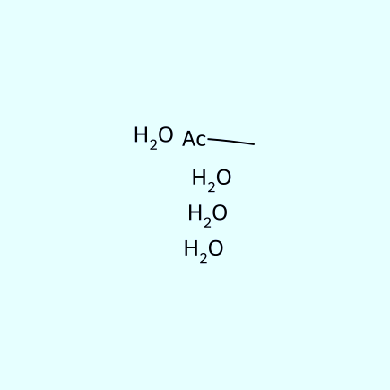 CC(C)=O.O.O.O.O